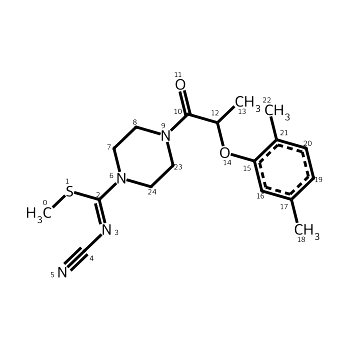 CS/C(=N\C#N)N1CCN(C(=O)C(C)Oc2cc(C)ccc2C)CC1